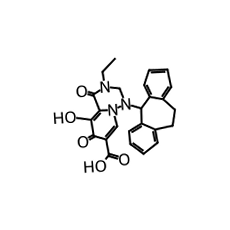 CCN1CN(C2c3ccccc3CCc3ccccc32)n2cc(C(=O)O)c(=O)c(O)c2C1=O